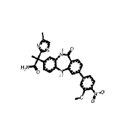 COc1cc(-c2ccc3c(c2)Nc2ccc(C(C)(C(N)=O)c4nc(C)cs4)cc2NC3=O)ccc1[N+](=O)[O-]